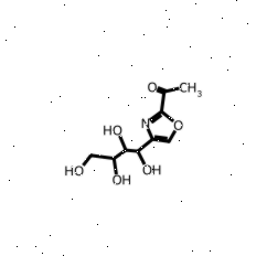 CC(=O)c1nc(C(O)C(O)C(O)CO)co1